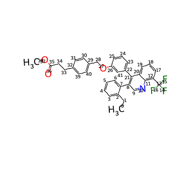 CCc1ccccc1-c1cnc2c(C(F)(F)F)cccc2c1-c1cccc(OCc2ccc(CCC(=O)OC)cc2)c1